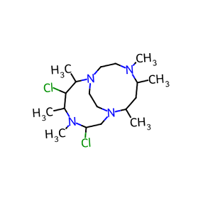 CC1CC(C)N2CCN(CCN1C)C(C)C(Cl)C(C)N(C)C(Cl)C2